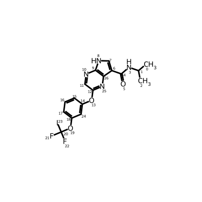 CC(C)NC(=O)c1c[nH]c2ncc(Oc3cccc(OC(F)(F)I)c3)nc12